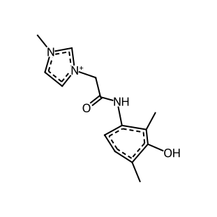 Cc1ccc(NC(=O)C[n+]2ccn(C)c2)c(C)c1O